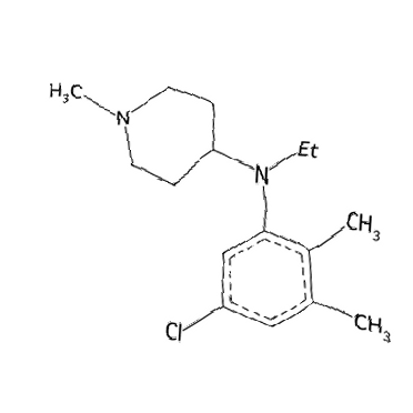 CCN(c1cc(Cl)cc(C)c1C)C1CCN(C)CC1